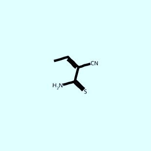 CC=C(C#N)C(N)=S